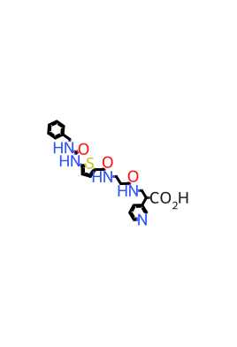 O=C(CCNC(=O)c1ccc(NC(=O)NCc2ccccc2)s1)NCC(C(=O)O)c1cccnc1